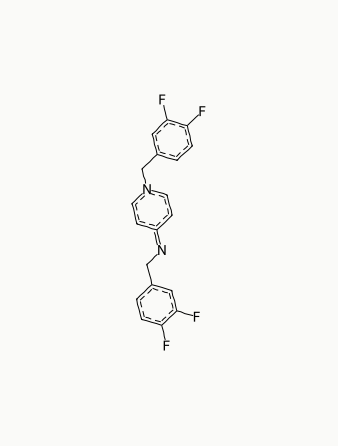 Fc1ccc(CN=c2ccn(Cc3ccc(F)c(F)c3)cc2)cc1F